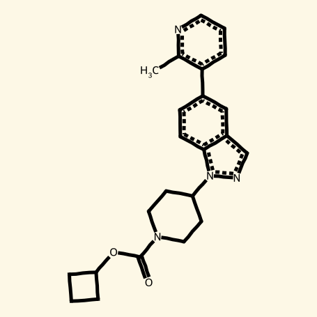 Cc1ncccc1-c1ccc2c(cnn2C2CCN(C(=O)OC3CCC3)CC2)c1